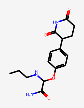 CCCNC(Oc1ccc(C2CCC(=O)NC2=O)cc1)C(N)=O